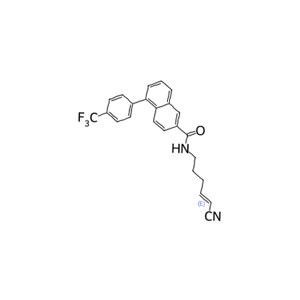 N#C/C=C/CCCNC(=O)c1ccc2c(-c3ccc(C(F)(F)F)cc3)cccc2c1